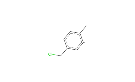 Cc1[c]cc(CCl)cc1